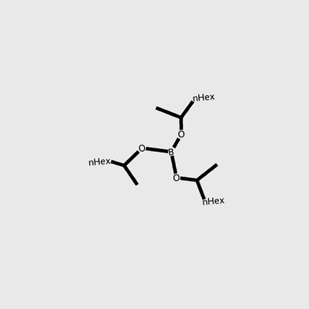 CCCCCCC(C)OB(OC(C)CCCCCC)OC(C)CCCCCC